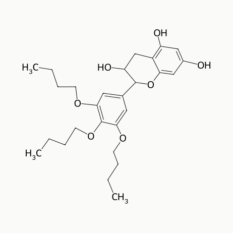 CCCCOc1cc(C2Oc3cc(O)cc(O)c3CC2O)cc(OCCCC)c1OCCCC